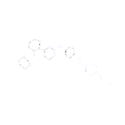 COCCN1CCN(CCc2ccc(Nc3ncc4c(n3)-c3ccccc3C(c3ccc(Cl)cc3Cl)C4)cc2)CC1.Cl